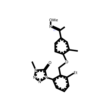 CCc1cccc(-n2nnn(C)c2=O)c1COc1ccc(/C(C)=N/OC)cc1C